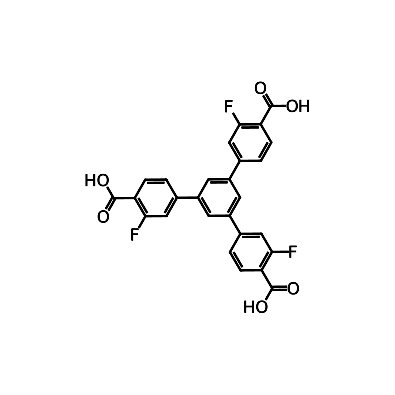 O=C(O)c1ccc(-c2cc(-c3ccc(C(=O)O)c(F)c3)cc(-c3ccc(C(=O)O)c(F)c3)c2)cc1F